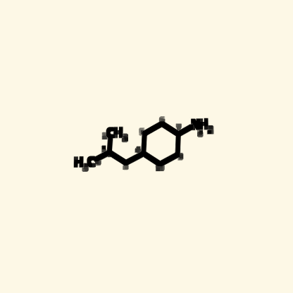 C[C](C)CC1CCC(N)CC1